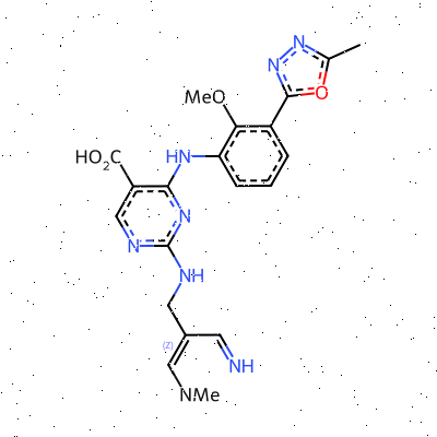 CN/C=C(\C=N)CNc1ncc(C(=O)O)c(Nc2cccc(-c3nnc(C)o3)c2OC)n1